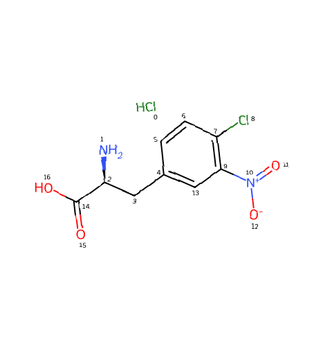 Cl.N[C@@H](Cc1ccc(Cl)c([N+](=O)[O-])c1)C(=O)O